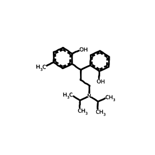 Cc1ccc(O)c(C(CCN(C(C)C)C(C)C)c2ccccc2O)c1